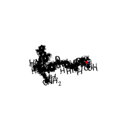 C=Cc1ccccc1N(Cc1ccccc1CC)C(=O)CCC(=O)N[C@H](C(=O)N[C@@H](CCCNC(N)=O)C(=O)Nc1ccc(COC(=O)NCc2ccc(C(C)(C)[C@H](NC)C(=O)N[C@H](C(=O)N(C)[C@H](/C=C(\C)C(=O)O)C(C)C)C(C)(C)C)cc2)cc1)C(C)C